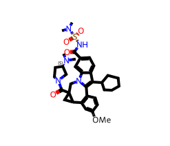 COc1ccc2c(c1)C1CC1(C(=O)N1CC[C@H](N(C)C)C1)Cn1c-2c(C2CCCCC2)c2ccc(C(=O)NS(=O)(=O)N(C)C)cc21